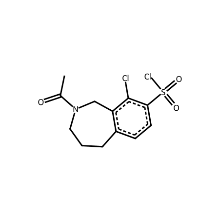 CC(=O)N1CCCc2ccc(S(=O)(=O)Cl)c(Cl)c2C1